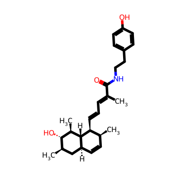 C/C(=C\C=C\[C@@H]1[C@H]2[C@H](C)[C@@H](O)[C@H](C)C[C@@H]2C=C[C@@H]1C)C(=O)NCCc1ccc(O)cc1